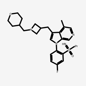 Cc1cncc2c1c(CC1CN(CC3CCOCC3)C1)cn2-c1ccc(F)cc1S(=N)(=O)C(C)C